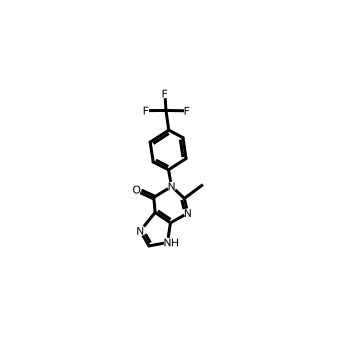 Cc1nc2[nH]cnc2c(=O)n1-c1ccc(C(F)(F)F)cc1